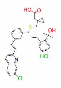 CC(C)(O)c1ccccc1CC[C@@H](SCC1(CC(=O)O)CC1)c1cccc(/C=C/c2ccc3ccc(Cl)cc3n2)c1.Cl